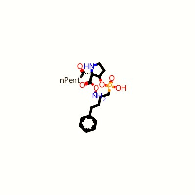 CCCCCC(=O)[C@]1(C(=O)ON)NCCC1OP(=O)(O)CCCCc1ccccc1